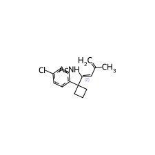 C=C(C)/C=C(\NC(C)=O)C1(c2ccc(Cl)cc2)CCC1